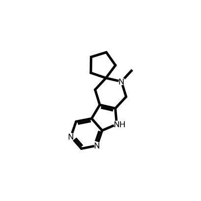 CN1Cc2[nH]c3ncncc3c2CC12CCCC2